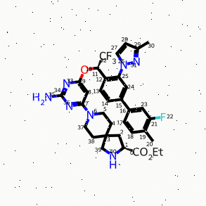 CCOC(=O)[C@@H]1CC2(CCN(c3cc(O[C@H](c4ccc(-c5ccc(C)c(F)c5)cc4-n4ccc(C)n4)C(F)(F)F)nc(N)n3)CC2)CN1